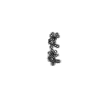 c1ccc(-c2ccccc2-c2nc(-c3ccccc3-c3cccc(-c4ccc5ccc6c(c5c4)c4cc5ccccc5cc4n6-c4ccc(-c5nc(-c6cccc7ccccc67)nc(-c6cccc7ccccc67)n5)c(-c5cccc6sc7ccccc7c56)c4)c3)nc(-c3ccc(-n4c5cc6ccccc6cc5c5c6ccccc6ccc54)cc3-c3cccc4sc5ccccc5c34)n2)cc1